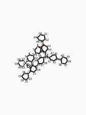 BrC1(c2ccc(-c3ccccc3)cc2-c2cc(-c3ccccc3)ccc2-c2ccc(N(c3ccc(-c4ccccc4)cc3)c3ccc(-c4ccccc4)cc3)cc2)C=CC=CC1